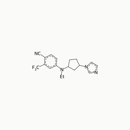 CCN(c1ccc(C#N)c(C(F)(F)F)c1)C1CCC(n2ccnc2)C1